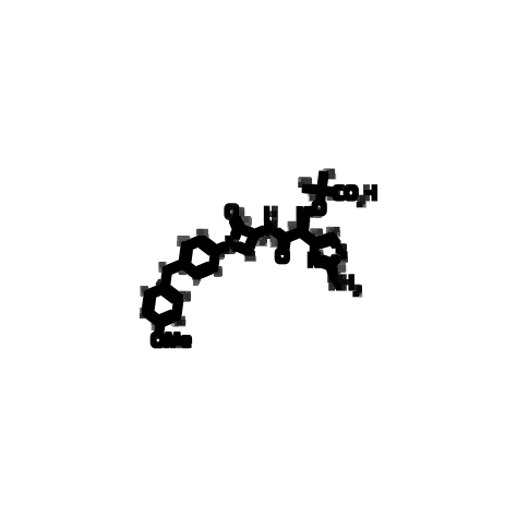 COc1ccc(Cc2ccc(N3CC(NC(=O)C(=NOC(C)(C)C(=O)O)c4csc(N)n4)C3=O)cc2)cc1